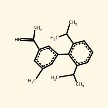 Cc1cc(C(=N)N)cc(-c2c(C(C)C)cccc2C(C)C)c1